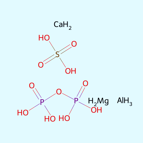 O=P(O)(O)OP(=O)(O)O.O=S(=O)(O)O.[AlH3].[CaH2].[MgH2]